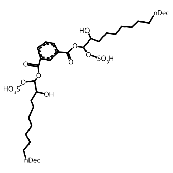 CCCCCCCCCCCCCCCCCC(O)C(OC(=O)c1cccc(C(=O)OC(OS(=O)(=O)O)C(O)CCCCCCCCCCCCCCCCC)c1)OS(=O)(=O)O